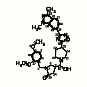 COc1ccc(CN2CC(C(O)N3CCC(c4nc(-c5ccc6c(C)nn(C)c6c5)no4)CC3)CC2=O)c(OC)c1